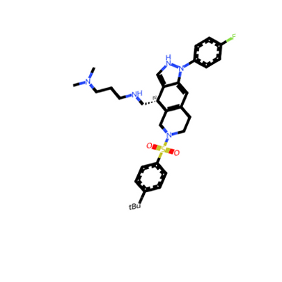 CN(C)CCCNC[C@@H]1C2=CNN(c3ccc(F)cc3)C2=CC2=C1CN(S(=O)(=O)c1ccc(C(C)(C)C)cc1)CC2